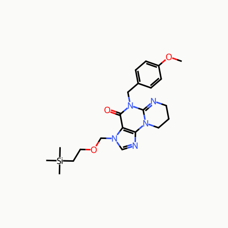 COc1ccc(CN2C(=O)c3c(ncn3COCC[Si](C)(C)C)N3CCCN=C23)cc1